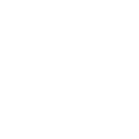 CCCCCCCCCCCCC[CH]C[O]